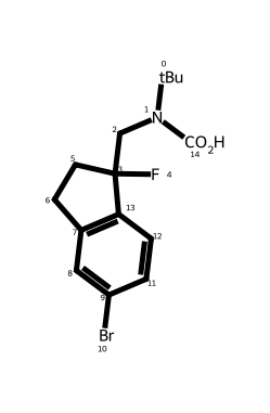 CC(C)(C)N(CC1(F)CCc2cc(Br)ccc21)C(=O)O